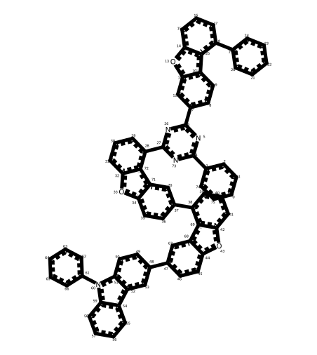 c1ccc(-c2nc(-c3ccc4c(c3)oc3cccc(-c5ccccc5)c34)nc(-c3cccc4oc5ccc(-c6cccc7oc8ccc(-c9ccc%10c(c9)c9ccccc9n%10-c9ccccc9)cc8c67)cc5c34)n2)cc1